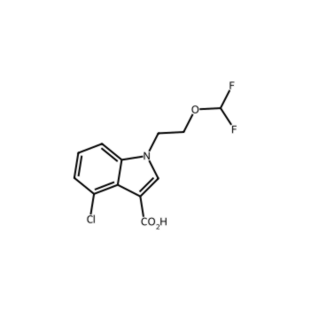 O=C(O)c1cn(CCOC(F)F)c2cccc(Cl)c12